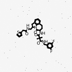 CC(C)(C(=O)NCc1cc(F)cc(F)c1)C(=O)NC1CCc2cccc3c2N(C1=O)C(CNC(=O)Cc1cccs1)C3